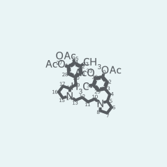 CC(=O)Oc1cc(CC2CCCN2CCCCN2CCCC2Cc2cc(C)c(OC(C)=O)c(OC(C)=O)c2)cc(C)c1OC(C)=O